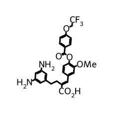 COc1cc(/C=C(\CCc2cc(N)cc(N)c2)C(=O)O)ccc1OC(=O)c1ccc(OCC(F)(F)F)cc1